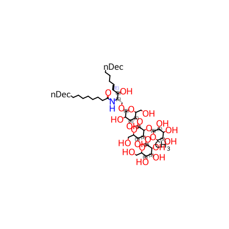 CCCCCCCCCCCCC/C=C/[C@@H](O)[C@H](CO[C@@H]1OC(CO)[C@@H](O[C@@H]2OC(CO)[C@H](O)[C@H](O[C@H]3OC(CO)[C@H](O)[C@H](O)C3O)C2O[C@H]2OC(C)[C@@H](O)C(O)[C@@H]2O)[C@H](O)C1O)NC(=O)CCCCCCCCCCCCCCCCC